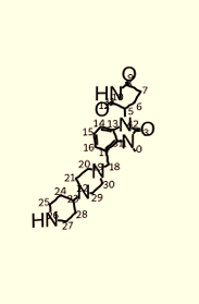 Cn1c(=O)n(C2CCC(=O)NC2=O)c2cccc(CN3CCN(C4CCNCC4)CC3)c21